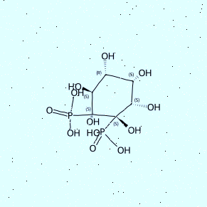 O=P(O)(O)[C@@]1(O)[C@@H](O)[C@H](O)[C@H](O)[C@H](O)[C@]1(O)P(=O)(O)O